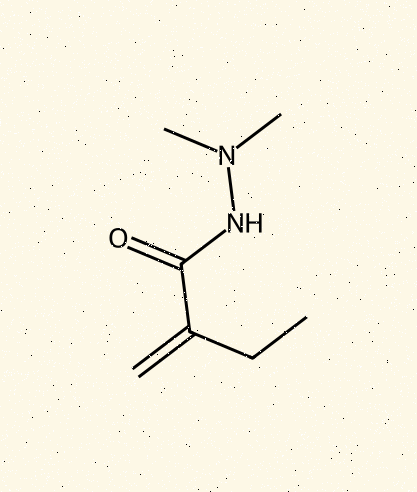 C=C(CC)C(=O)NN(C)C